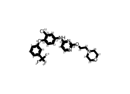 FC(F)(F)c1cccc(Oc2ccc(Nc3ccnc(OCCN4CCOCC4)n3)cc2Cl)c1